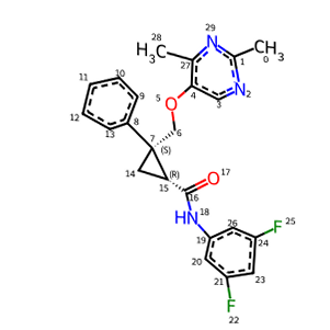 Cc1ncc(OC[C@@]2(c3ccccc3)C[C@H]2C(=O)Nc2cc(F)cc(F)c2)c(C)n1